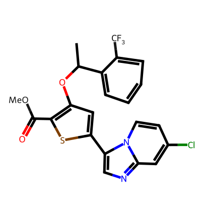 COC(=O)c1sc(-c2cnc3cc(Cl)ccn23)cc1OC(C)c1ccccc1C(F)(F)F